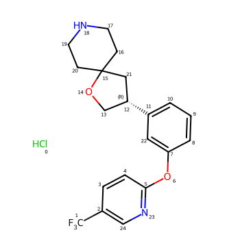 Cl.FC(F)(F)c1ccc(Oc2cccc([C@@H]3COC4(CCNCC4)C3)c2)nc1